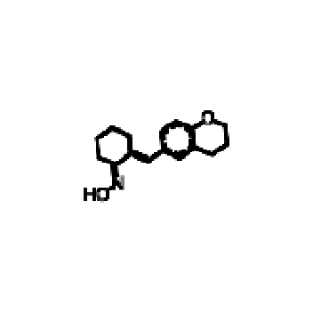 O/N=C1\CCCC\C1=C/c1ccc2c(c1)CCCO2